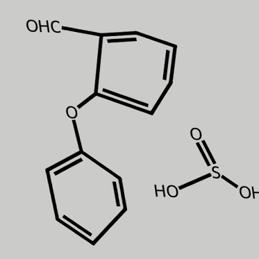 O=Cc1ccccc1Oc1ccccc1.O=S(O)O